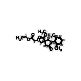 CCOC(=O)COCC1(C(=O)OC)CC(=O)N(c2c(C)cccc2C)C1